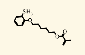 C=C(C)C(=O)OCCCCCCOc1ccccc1[SiH3]